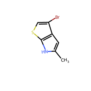 Cc1cc2c(Br)csc2[nH]1